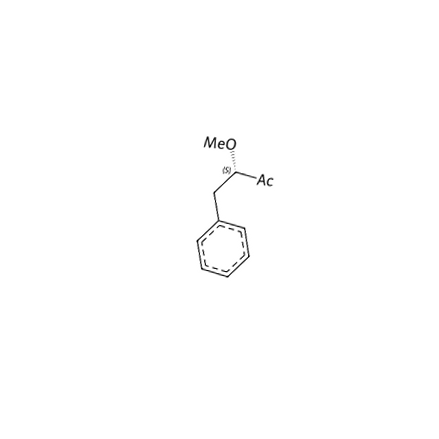 CO[C@@H](Cc1ccccc1)C(C)=O